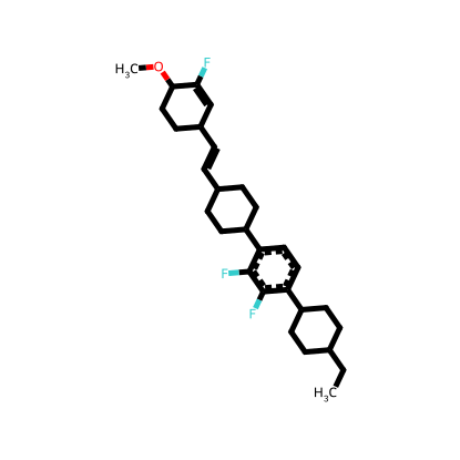 CCC1CCC(c2ccc(C3CCC(/C=C/C4C=C(F)C(OC)CC4)CC3)c(F)c2F)CC1